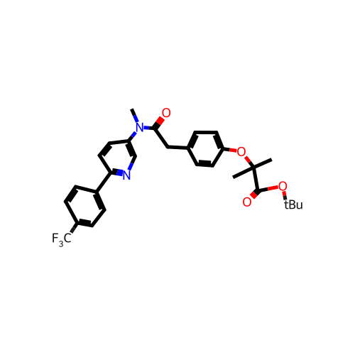 CN(C(=O)Cc1ccc(OC(C)(C)C(=O)OC(C)(C)C)cc1)c1ccc(-c2ccc(C(F)(F)F)cc2)nc1